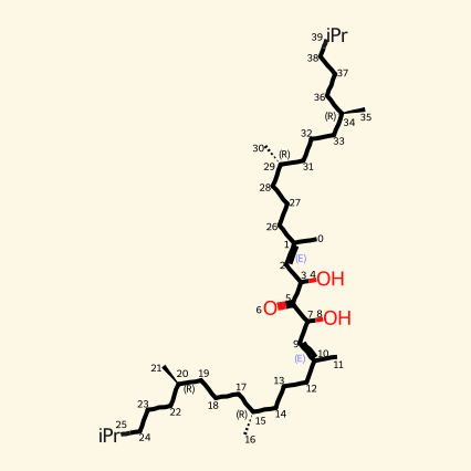 C/C(=C\C(O)C(=O)C(O)/C=C(\C)CCC[C@H](C)CCC[C@H](C)CCCC(C)C)CCC[C@H](C)CCC[C@H](C)CCCC(C)C